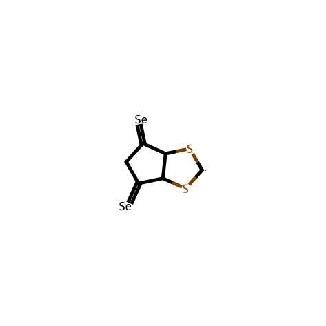 [Se]=C1CC(=[Se])C2S[CH]SC12